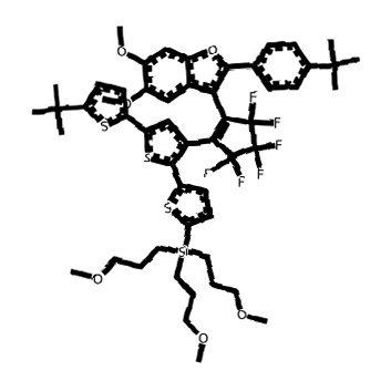 COCCC[Si](CCCOC)(CCCOC)c1ccc(-c2sc(-c3ccc(C(C)(C)C)s3)cc2C2=C(c3c(-c4ccc(C(C)(C)C)cc4)oc4cc(OC)c(OC)cc34)C(F)(F)C(F)(F)C2(F)F)s1